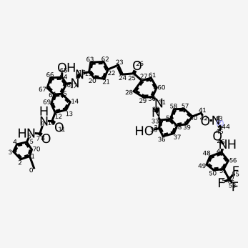 Cc1cccc(NC(=O)NC(=O)c2ccc3c(N=Nc4ccc(C=CC(=O)c5ccc(N=Nc6c(O)ccc7cc(CO/N=C\ONc8cccc(C(F)(F)F)c8)ccc67)cc5)cc4)c(O)ccc3c2)c1